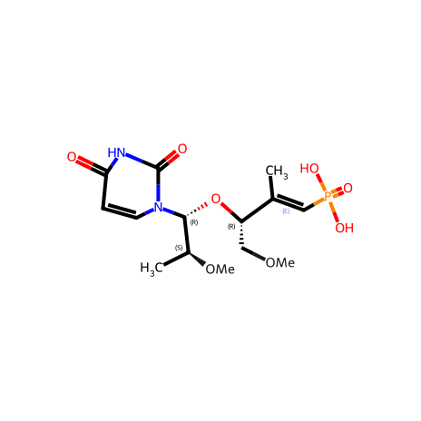 COC[C@H](O[C@H]([C@H](C)OC)n1ccc(=O)[nH]c1=O)/C(C)=C/P(=O)(O)O